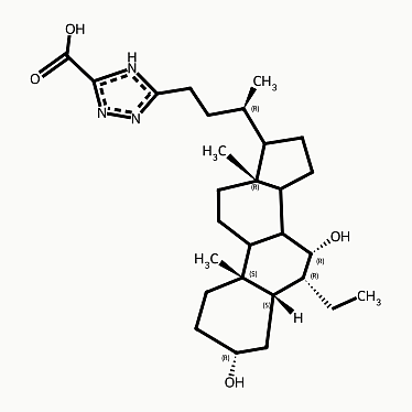 CC[C@H]1[C@@H](O)C2C3CCC([C@H](C)CCc4nnc(C(=O)O)[nH]4)[C@@]3(C)CCC2[C@@]2(C)CC[C@@H](O)C[C@@H]12